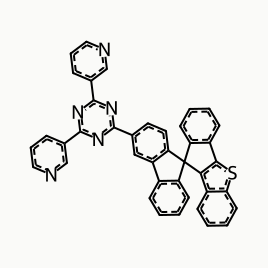 c1cncc(-c2nc(-c3cccnc3)nc(-c3ccc4c(c3)-c3ccccc3C43c4ccccc4-c4sc5ccccc5c43)n2)c1